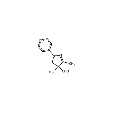 CC1=NN(c2ccncc2)CC1(C)C=O